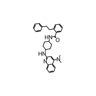 CN(C)c1cc(NC2CCC(NC(=O)c3ccccc3CCc3ccccc3)CC2)nc2ccccc12